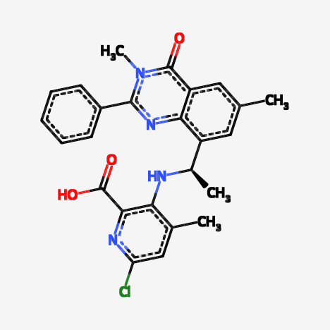 Cc1cc([C@@H](C)Nc2c(C)cc(Cl)nc2C(=O)O)c2nc(-c3ccccc3)n(C)c(=O)c2c1